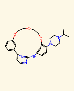 CC(C)N1CCN(c2ccc3cc2OCCOCCOc2cccc(c2)-c2ccnc(n2)N3)CC1